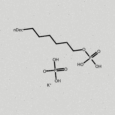 CCCCCCCCCCCCCCCCOP(=O)(O)O.O=P([O-])(O)O.[K+]